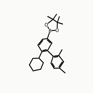 Cc1ccc(-c2cc(B3OC(C)(C)C(C)(C)O3)ccc2C2CCCCC2)c(C)c1